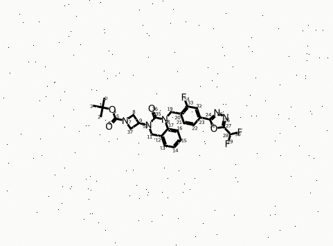 CC(C)(C)OC(=O)N1CC(N2Cc3ccccc3N(Cc3ccc(-c4nnc(C(F)F)o4)cc3F)C2=O)C1